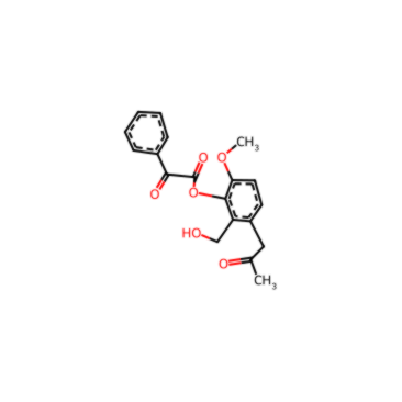 COc1ccc(CC(C)=O)c(CO)c1OC(=O)C(=O)c1ccccc1